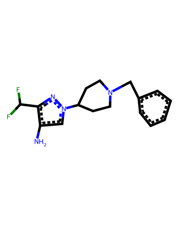 Nc1cn(C2CCN(Cc3ccccc3)CC2)nc1C(F)F